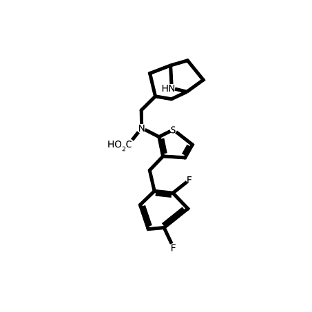 O=C(O)N(CC1CC2CCC(C1)N2)c1sccc1Cc1ccc(F)cc1F